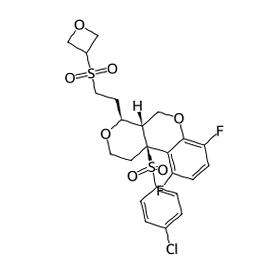 O=S(=O)(CC[C@@H]1OCC[C@@]2(S(=O)(=O)c3ccc(Cl)cc3)c3c(F)ccc(F)c3OC[C@@H]12)C1COC1